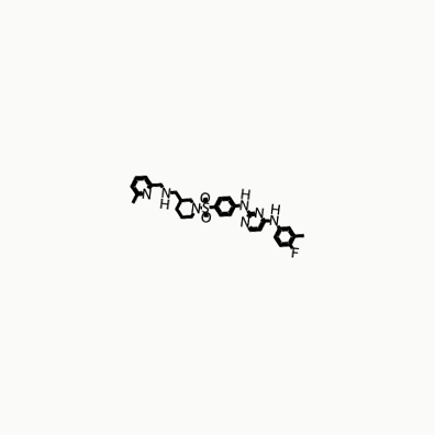 Cc1cccc(CNCC2CCCN(S(=O)(=O)c3ccc(Nc4nccc(Nc5ccc(F)c(C)c5)n4)cc3)C2)n1